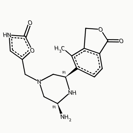 Cc1c([C@@H]2CN(Cc3c[nH]c(=O)o3)C[C@H](N)N2)ccc2c1COC2=O